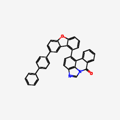 O=c1c2ccccc2c2c(-c3cccc4oc5ccc(-c6ccc(-c7ccccc7)cc6)cc5c34)ccc3ncn1c32